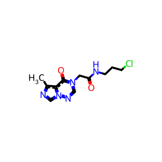 Cc1ncn2ncn(CC(=O)NCCCCl)c(=O)c12